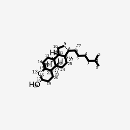 CC(C)CCC[C@@H](C)[C@H]1CC[C@H]2[C@@H]3CC=C4[13CH2][C@@H](O)CC[C@]4(C)[C@H]3CC[C@]12C